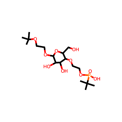 CC(C)(C)OCCOC1OC(CO)C(OCCOP(=O)(O)C(C)(C)C)C(O)C1O